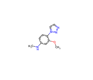 CNc1ccc(-n2ccnn2)c(OC)c1